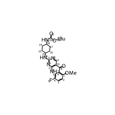 COc1ccc(F)cc1C(=O)c1cnc(NC2CCC(NC(=O)OC(C)(C)C)CC2)nc1N